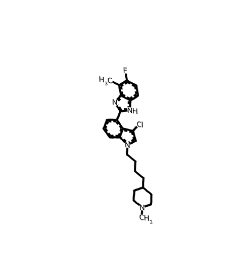 Cc1c(F)ccc2[nH]c(-c3cccc4c3c(Cl)cn4CCCCC3CCN(C)CC3)nc12